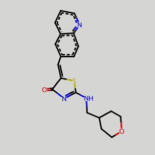 O=C1N=C(NCC2CCOCC2)S/C1=C\c1ccc2ncccc2c1